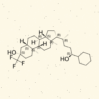 C[C@H](CC[C@H](O)C1CCCCC1)[C@H]1CC[C@H]2[C@@H]3CC[C@H]4C[C@](O)(C(F)(F)F)CC[C@]4(C)[C@H]3CC[C@]12C